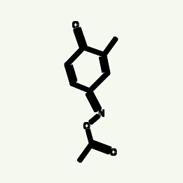 CC(=O)ON=C1C=CC(=O)C(C)=C1